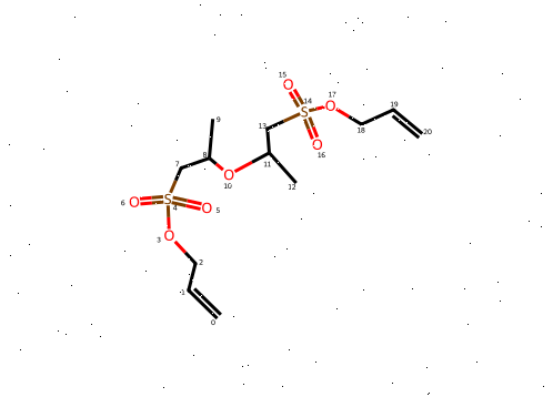 C=CCOS(=O)(=O)CC(C)OC(C)CS(=O)(=O)OCC=C